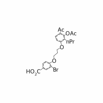 CCCc1c(OCCCOc2ccc(C(=O)O)cc2Br)ccc(C(C)=O)c1OC(C)=O